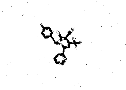 Cc1ccc(Cn2c(-c3ccccc3)cc(C(F)(F)F)c(C#N)c2=O)cc1